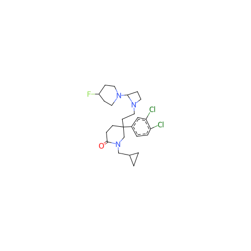 O=C1CCC(CCN2CCC2N2CCC(F)CC2)(c2ccc(Cl)c(Cl)c2)CN1CC1CC1